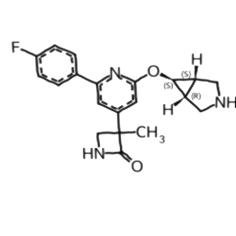 CC1(c2cc(O[C@H]3[C@@H]4CNC[C@@H]43)nc(-c3ccc(F)cc3)c2)CNC1=O